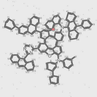 Cc1cccc(N(c2cccc(-c3ccccc3)c2)c2ccc3c4ccc(N(c5cccc6ccccc56)c5c6ccccc6c(-c6ccccc6)c6ccccc56)c5oc6cc(-c7cc8ccc(-c9ccccc9)cc8c8ccccc78)cc(c7cc(-c8ncnc(-c9c%10ccccc%10cc%10ccccc9%10)n8)cc8oc2c3c87)c6c54)c1